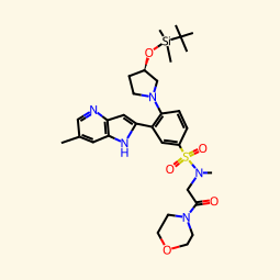 Cc1cnc2cc(-c3cc(S(=O)(=O)N(C)CC(=O)N4CCOCC4)ccc3N3CC[C@@H](O[Si](C)(C)C(C)(C)C)C3)[nH]c2c1